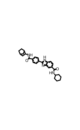 O=C(NC1CCCCC1)c1ccc2[nH]c(-c3ccc(C(=O)NC4CC5CCC4C5)cc3)nc2c1